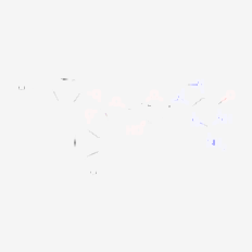 COc1ccc(OP(=S)(OC[C@@]2(C(F)F)O[C@@H](n3cnc4c(=O)[nH]c(N)nc43)C(F)(F)[C@H]2O)Oc2ccc(OC)cc2)cc1